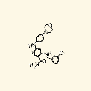 COc1cccc(CNc2cc(Nc3ccc(N4CCOCC4)cc3)ncc2C(N)=O)c1